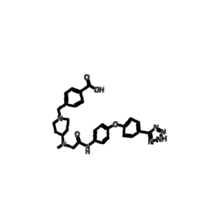 CN(CC(=O)Nc1ccc(Oc2ccc(-c3nn[nH]n3)cc2)cc1)C1CCN(Cc2ccc(C(=O)O)cc2)CC1